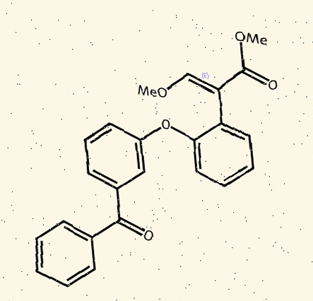 CO/C=C(/C(=O)OC)c1ccccc1Oc1cccc(C(=O)c2ccccc2)c1